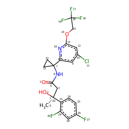 C[C@](O)(CC(=O)NC1(c2cc(Cl)cc(OCC(F)(F)F)n2)CC1)c1ccc(F)cc1F